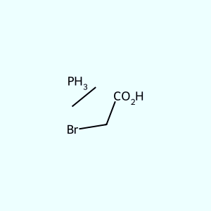 CC.O=C(O)CBr.P